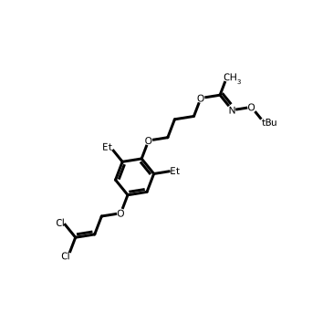 CCc1cc(OCC=C(Cl)Cl)cc(CC)c1OCCCOC(C)=NOC(C)(C)C